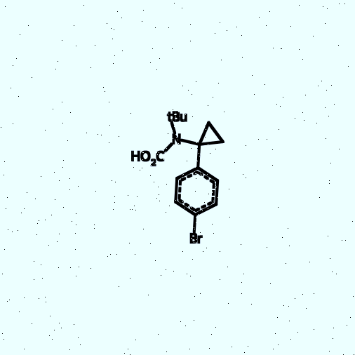 CC(C)(C)N(C(=O)O)C1(c2ccc(Br)cc2)CC1